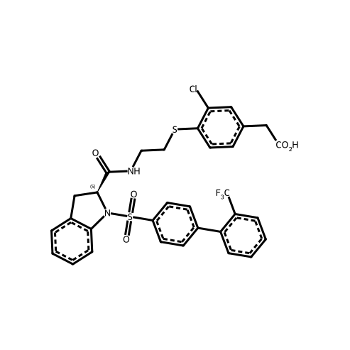 O=C(O)Cc1ccc(SCCNC(=O)[C@@H]2Cc3ccccc3N2S(=O)(=O)c2ccc(-c3ccccc3C(F)(F)F)cc2)c(Cl)c1